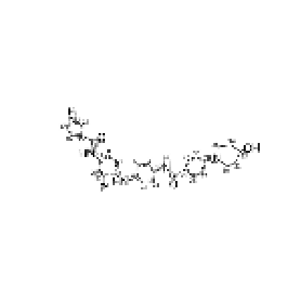 O=C(Nc1ccc(Nc2ccc(NC(=O)c3cc[nH]c3)cc2F)cc1)c1ccc(N2CCC(O)CC2)cc1